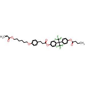 C=CC(=O)OCCCCCCOc1ccc(CCC(=O)Oc2ccc(C(c3ccc(OC(=O)CCC)cc3)(C(F)(F)F)C(F)(F)F)cc2)cc1